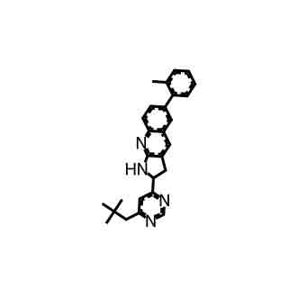 Cc1ccccc1-c1ccc2nc3c(cc2c1)CC(c1cc(CC(C)(C)C)ncn1)N3